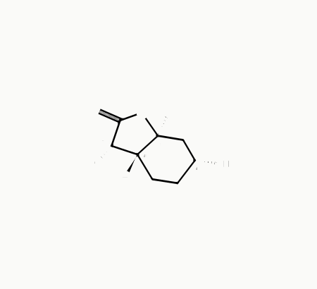 C[C@@H]1CC[C@H]2[C@H](C1)OC(=O)[C@H]2C